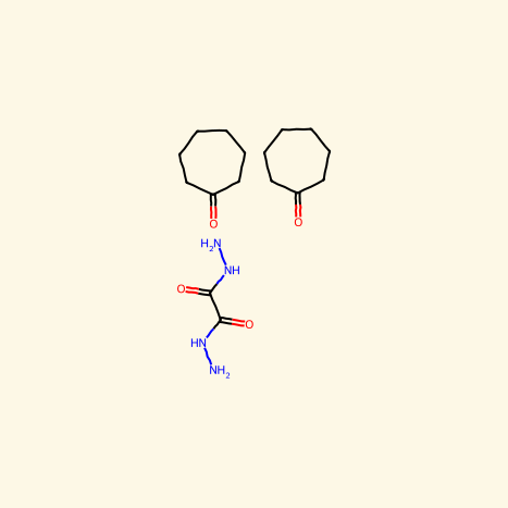 NNC(=O)C(=O)NN.O=C1CCCCCC1.O=C1CCCCCC1